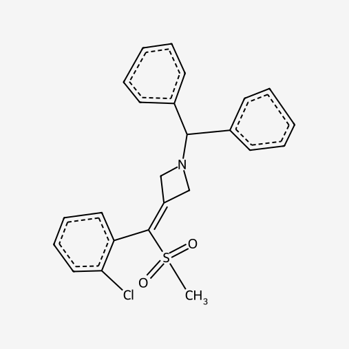 CS(=O)(=O)C(=C1CN(C(c2ccccc2)c2ccccc2)C1)c1ccccc1Cl